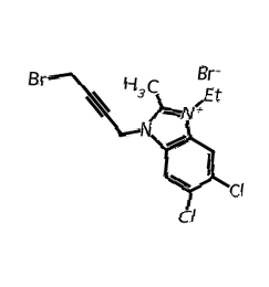 CC[n+]1c(C)n(CC#CCBr)c2cc(Cl)c(Cl)cc21.[Br-]